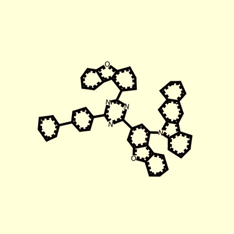 c1ccc(-c2ccc(-c3nc(-c4cc(-n5c6ccccc6c6cc7ccccc7cc65)c5c(c4)oc4ccccc45)nc(-c4cccc5oc6ccccc6c45)n3)cc2)cc1